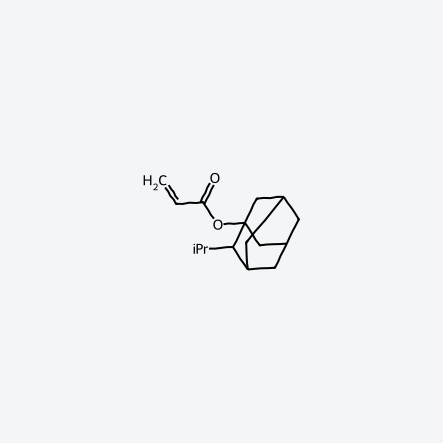 C=CC(=O)OC12CC3CC(CC(C3)C1C(C)C)C2